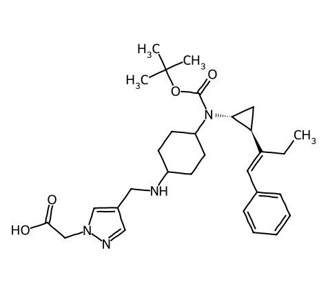 CCC(=Cc1ccccc1)[C@@H]1C[C@H]1N(C(=O)OC(C)(C)C)C1CCC(NCc2cnn(CC(=O)O)c2)CC1